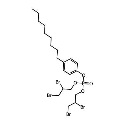 CCCCCCCCCc1ccc(OP(=O)(OCC(Br)CBr)OCC(Br)CBr)cc1